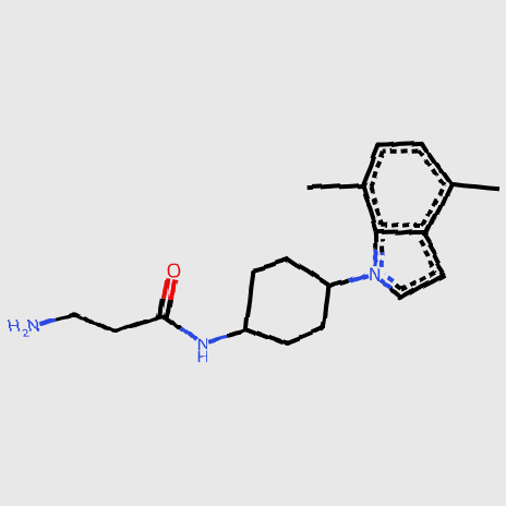 Cc1ccc(C)c2c1ccn2C1CCC(NC(=O)CCN)CC1